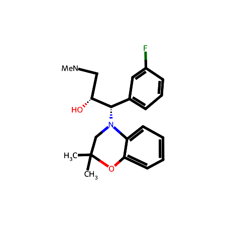 CNC[C@@H](O)[C@H](c1cccc(F)c1)N1CC(C)(C)Oc2ccccc21